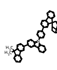 CC1(C)c2ccccc2-c2cc(-c3ccc4c(c3)c3ccccc3n4-c3ccc(-c4ccc5c(c4)C4(c6ccccc6-5)C5CC6CC(C5)CC4C6)cc3)ccc21